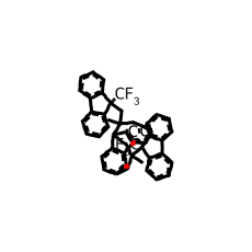 CC1(CC2(C(F)(F)F)c3ccccc3-c3ccccc32)Cc2ccc3c(c2)-c2cc4ccc2C31CC(C)(C1(C(F)(F)F)c2ccccc2-c2ccccc21)C4